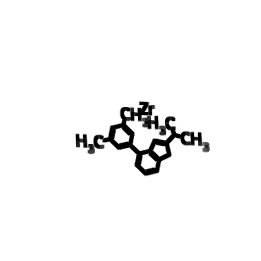 Cc1cc(C)cc(-c2cccc3c2C=C(C(C)C)C3)c1.[Zr]